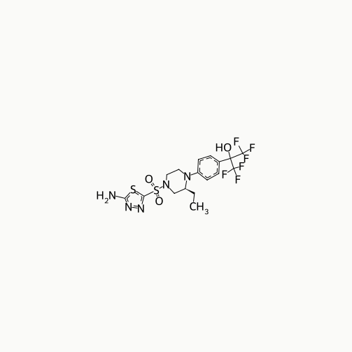 CC[C@H]1CN(S(=O)(=O)c2nnc(N)s2)CCN1c1ccc(C(O)(C(F)(F)F)C(F)(F)F)cc1